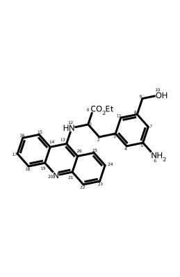 CCOC(=O)C(Cc1cc(N)cc(CO)c1)Nc1c2ccccc2nc2ccccc12